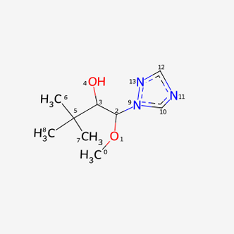 COC(C(O)C(C)(C)C)n1cncn1